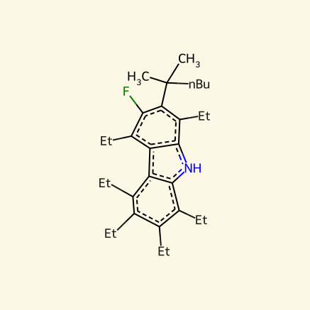 CCCCC(C)(C)c1c(F)c(CC)c2c([nH]c3c(CC)c(CC)c(CC)c(CC)c32)c1CC